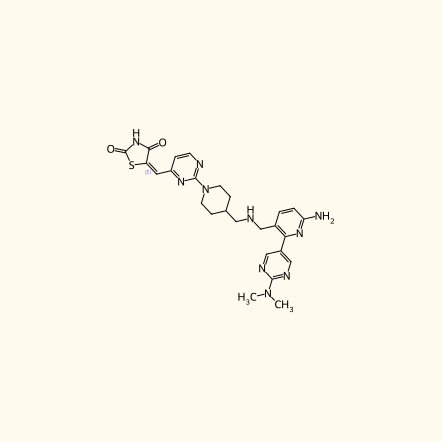 CN(C)c1ncc(-c2nc(N)ccc2CNCC2CCN(c3nccc(/C=C4/SC(=O)NC4=O)n3)CC2)cn1